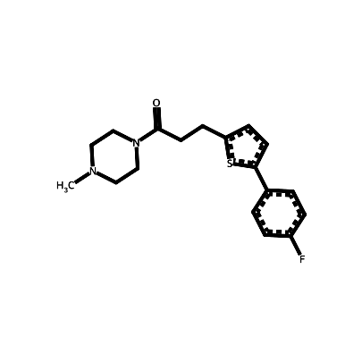 CN1CCN(C(=O)CCc2ccc(-c3ccc(F)cc3)s2)CC1